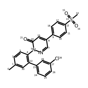 Cc1ccc(-n2ncc(-c3ccc(S(C)(=O)=O)cc3)cc2=O)c(-c2cccc(Cl)c2)c1